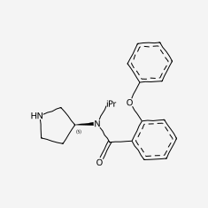 CC(C)N(C(=O)c1ccccc1Oc1ccccc1)[C@H]1CCNC1